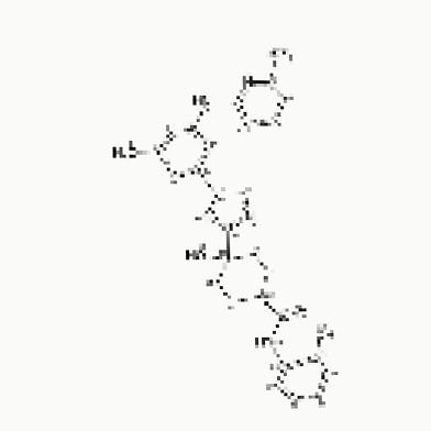 Cc1cc(Nc2nccc(C(F)(F)F)n2)cc(-c2cnc(C3(O)CCC(C(=O)Nc4ccccc4O)CC3)s2)c1